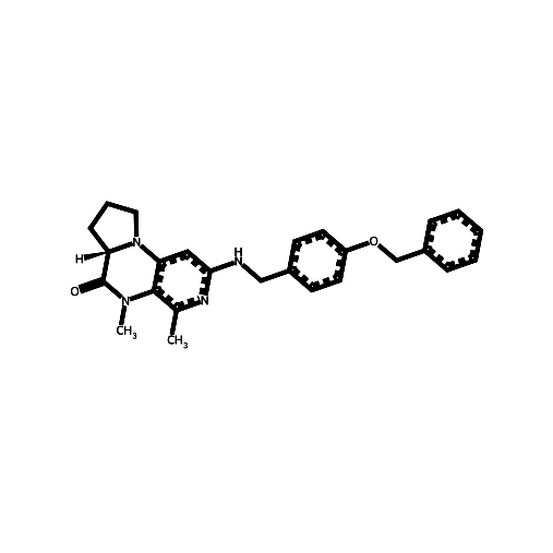 Cc1nc(NCc2ccc(OCc3ccccc3)cc2)cc2c1N(C)C(=O)[C@@H]1CCCN21